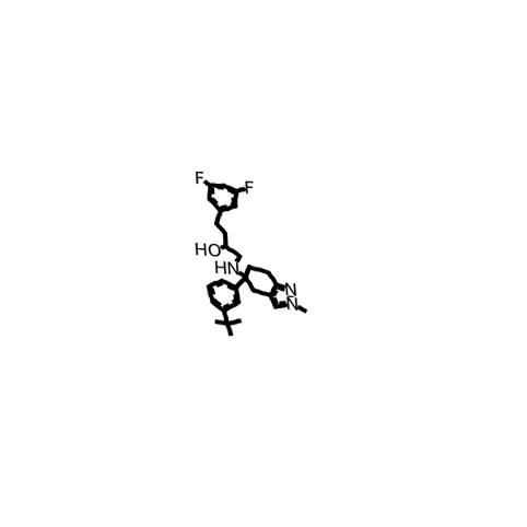 Cn1cc2c(n1)CCC(NCC(O)CCc1cc(F)cc(F)c1)(c1cccc(C(C)(C)C)c1)C2